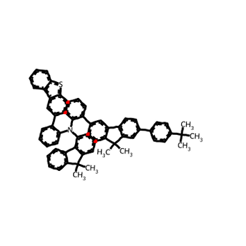 CC(C)(C)c1ccc(-c2ccc3c(c2)C(C)(C)c2ccc(-c4ccccc4N(c4ccccc4-c4ccc5sc6ccccc6c5c4)c4cccc5c4-c4ccccc4C5(C)C)cc2-3)cc1